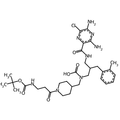 Cc1ccccc1CC(CNC(=O)c1nc(Cl)c(N)nc1N)CN(CC1CCN(C(=O)CCNC(=O)OC(C)(C)C)CC1)C(=O)O